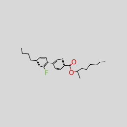 CCCCCCC(C)OC(=O)c1ccc(-c2ccc(CCCC)cc2F)cc1